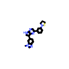 Cn1cnc2ccc(-c3c[nH]c4ncc(-c5cccc(N6CCCS6)c5)nc34)cc21